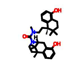 CN(CC[C@@]1(C)c2cccc(O)c2CCC1(C)C)C(=O)N1CC[C@@]2(C)c3cccc(O)c3C[C@@H]1C2(C)C